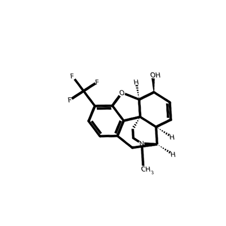 CN1CC[C@]23c4c5ccc(C(F)(F)F)c4O[C@H]2[C@@H](O)C=C[C@H]3[C@H]1C5